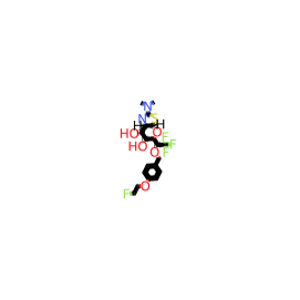 CN(C)C1=N[C@@H]2[C@@H](O)[C@H](O)C([C@@H](OCc3ccc(OCCF)cc3)C(F)(F)F)O[C@@H]2S1